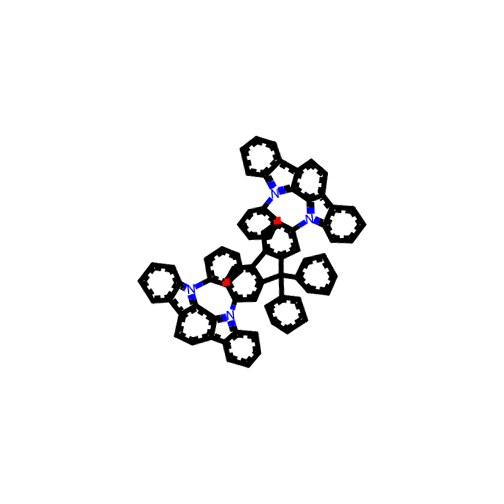 c1ccc(-n2c3ccccc3c3ccc4c5ccccc5n(-c5ccc6c(c5)C(c5ccccc5)(c5ccccc5)c5cc(-n7c8ccccc8c8ccc9c%10ccccc%10n(-c%10ccccc%10)c9c87)ccc5-6)c4c32)cc1